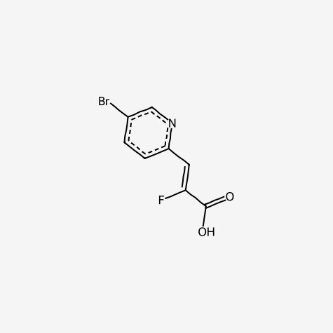 O=C(O)C(F)=Cc1ccc(Br)cn1